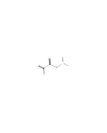 C=C(C)C(=O)C[Si](C)C